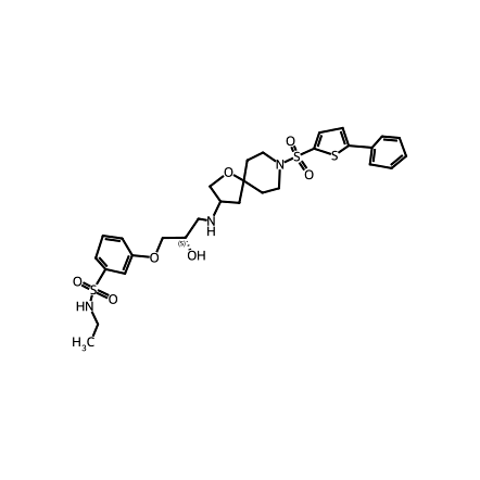 CCNS(=O)(=O)c1cccc(OC[C@@H](O)CNC2COC3(CCN(S(=O)(=O)c4ccc(-c5ccccc5)s4)CC3)C2)c1